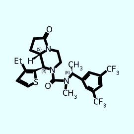 CCc1ccsc1[C@H]1[C@@H]2CCC(=O)N2CCN1C(=O)N(C)[C@H](C)c1cc(C(F)(F)F)cc(C(F)(F)F)c1